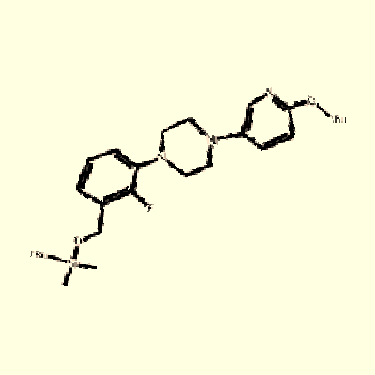 CC(C)(C)Oc1ccc(N2CCN(c3cccc(CO[Si](C)(C)C(C)(C)C)c3F)CC2)cn1